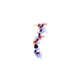 C[C@H](CS)NC(=O)[C@H](CC(=O)O)NC(=O)[C@@H](N)CNC(=O)CC[C@H](NC(=O)CC[C@H](NC(=O)c1ccc(NCc2cnc3nc(N)[nH]c(=O)c3n2)cc1)C(=O)O)C(=O)O